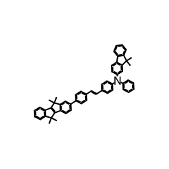 CC1(C)C2=C(c3ccccc31)C(C)(C)c1cc(-c3ccc(/C=C/c4ccc(N(c5ccccc5)c5ccc6c(c5)C(C)(C)c5ccccc5-6)cc4)cc3)ccc12